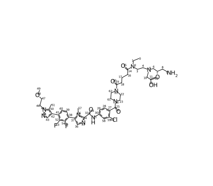 CCN(CCN(CCCN)CC(=O)O)C(=O)CCCC(=O)N1CCN(C(=O)c2ccc(NC(=O)c3ncc(-c4ccc(-c5cnn(CCOC)c5C)c(F)c4F)n3C)cc2Cl)CC1